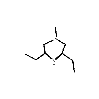 CCC1CN(C)CC(CC)N1